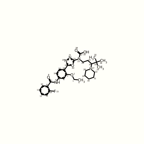 CCOc1cc(NC(=O)c2ccccc2F)ccc1-c1nnc(N(CCC(N2CCCCC2)C(C)(C)C)C(=O)O)o1